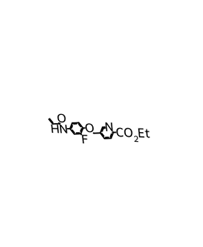 C=CC(=O)Nc1ccc(OCc2ccc(C(=O)OCC)nc2)c(F)c1